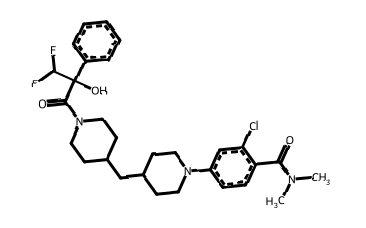 CN(C)C(=O)c1ccc(N2CCC(CC3CCN(C(=O)C(O)(c4ccccc4)C(F)F)CC3)CC2)cc1Cl